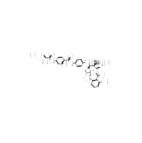 C=CC(=O)Nc1ccc(C(=O)Nc2ccc(NC(=O)c3n[nH]cc3NC(=O)c3c(Cl)cccc3Cl)cc2)cc1